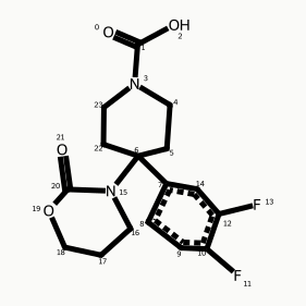 O=C(O)N1CCC(c2ccc(F)c(F)c2)(N2CCCOC2=O)CC1